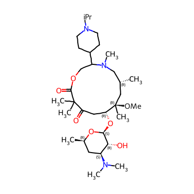 CO[C@]1(C)C[C@@H](C)CN(C)C(C2CCN(C(C)C)CC2)COC(=O)C(C)(C)C(=O)C[C@H]1O[C@@H]1O[C@H](C)C[C@H](N(C)C)[C@H]1O